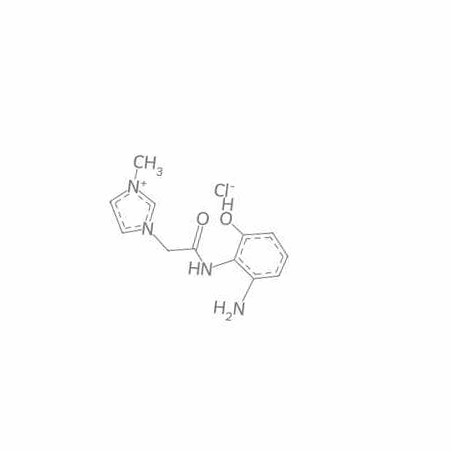 C[n+]1ccn(CC(=O)Nc2c(N)cccc2O)c1.[Cl-]